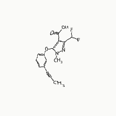 CC#Cc1cccc(Oc2c(C(=O)O)c(C(F)F)nn2C)c1